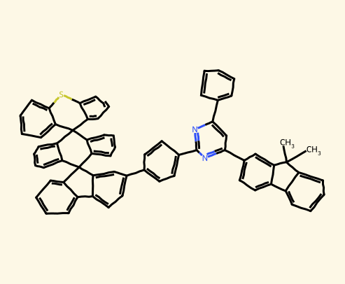 CC1(C)c2ccccc2-c2ccc(-c3cc(-c4ccccc4)nc(-c4ccc(-c5ccc6c(c5)C5(c7ccccc7-6)c6ccccc6C6(c7ccccc7Sc7ccccc76)c6ccccc65)cc4)n3)cc21